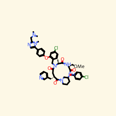 COC[C@@H]1NC(=O)[C@H](C)N(Cc2ccc(Cl)cc2Oc2ccc(-c3cnc(CN(C)C)n3C)cc2)C(=O)C[C@@H](Cc2cccnc2)C(=O)N2CCC[C@@](Cc3ccc(Cl)cc3)(C2)NC1=O